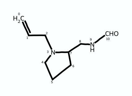 C=CCN1CCCC1CNC=O